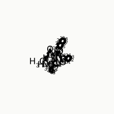 CN(C(=O)/C=C/CC(C)(C)N)[C@H](Cc1ccc2ccccc2c1)C(=O)N(C)[C@H](Cc1ccccc1)C(=O)N1CCC(C)(c2cccs2)CC1